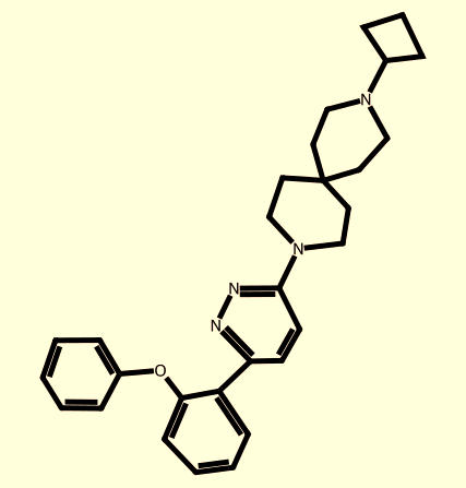 c1ccc(Oc2ccccc2-c2ccc(N3CCC4(CC3)CCN(C3CCC3)CC4)nn2)cc1